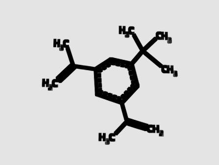 C=C(C)c1cc(C(=C)C)cc(C(C)(C)C)c1